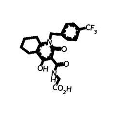 O=C(O)CNC(=O)c1c(O)c2c(n(Cc3ccc(C(F)(F)F)cc3)c1=O)CCCC2